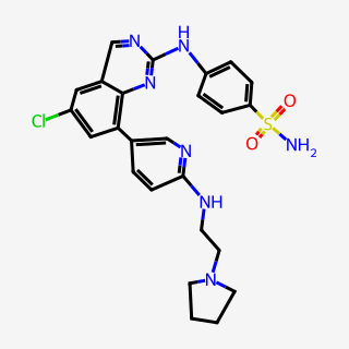 NS(=O)(=O)c1ccc(Nc2ncc3cc(Cl)cc(-c4ccc(NCCN5CCCC5)nc4)c3n2)cc1